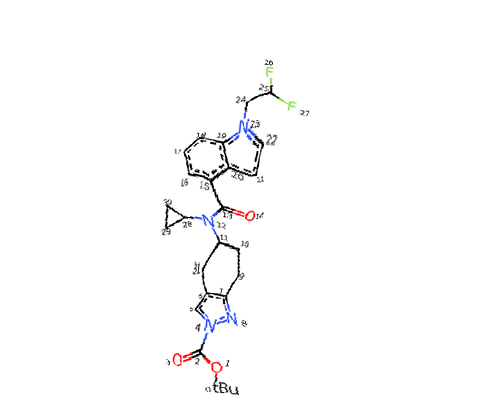 CC(C)(C)OC(=O)n1cc2c(n1)CCC(N(C(=O)c1cccc3c1ccn3CC(F)F)C1CC1)C2